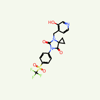 O=C1N(c2ccc(S(=O)(=O)C(F)(F)F)cc2)C(=O)C2(CC2)N1Cc1ccncc1O